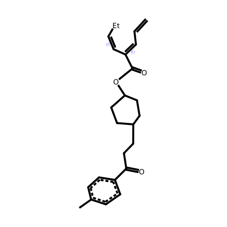 C=C/C=C(\C=C/CC)C(=O)OC1CCC(CCC(=O)c2ccc(C)cc2)CC1